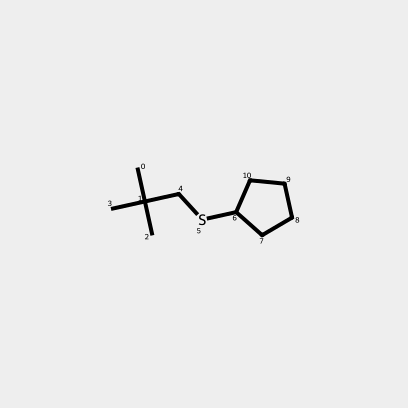 CC(C)(C)CSC1CCCC1